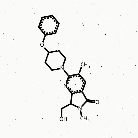 Cc1cc2c(nc1N1CCC(Oc3ccccc3)CC1)C(CO)N(C)C2=O